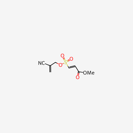 C=C(C#N)COS(=O)(=O)C=CC(=O)OC